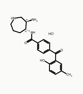 Cc1ccc(O)c(C(=O)c2ccc(C(=O)N[C@@H]3CCCNC[C@H]3N)cc2)c1.Cl